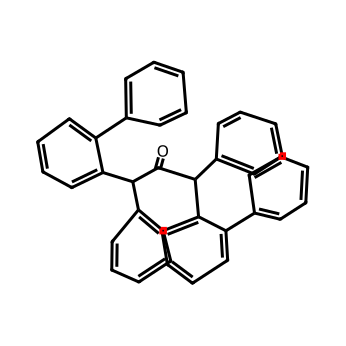 O=C(C(c1ccccc1)c1ccccc1-c1ccccc1)C(c1ccccc1)c1ccccc1-c1ccccc1